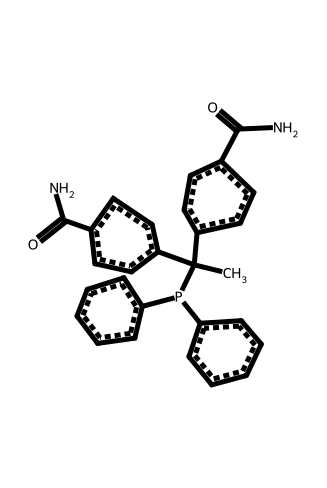 CC(c1ccc(C(N)=O)cc1)(c1ccc(C(N)=O)cc1)P(c1ccccc1)c1ccccc1